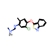 Cc1cc(Oc2snc3ccccc23)c(Cl)cc1N=CN(C)C(C)C